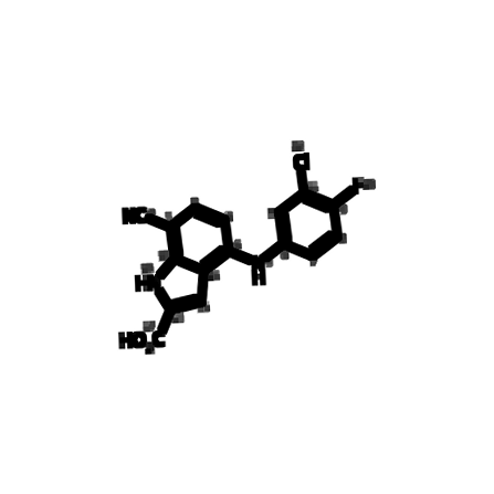 N#Cc1ccc(Nc2ccc(F)c(Cl)c2)c2cc(C(=O)O)[nH]c12